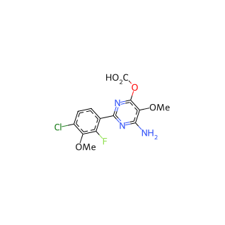 COc1c(N)nc(-c2ccc(Cl)c(OC)c2F)nc1OC(=O)O